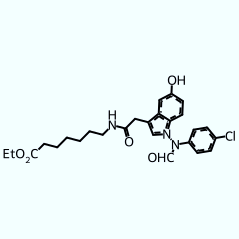 CCOC(=O)CCCCCCNC(=O)Cc1cn(N(C=O)c2ccc(Cl)cc2)c2ccc(O)cc12